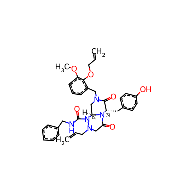 C=CCOc1c(CN2C[C@H]3N(C(=O)CN(CC=C)N3C(=O)NCc3ccccc3)[C@@H](Cc3ccc(O)cc3)C2=O)cccc1OC